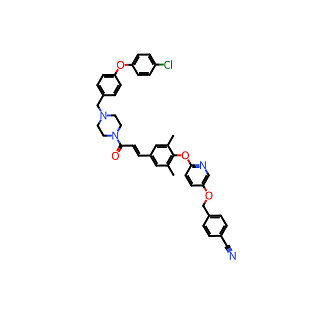 Cc1cc(/C=C/C(=O)N2CCN(Cc3ccc(Oc4ccc(Cl)cc4)cc3)CC2)cc(C)c1Oc1ccc(OCc2ccc(C#N)cc2)cn1